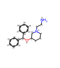 NCCN1CCCC(OC(c2ccccc2)c2ccccc2)C1